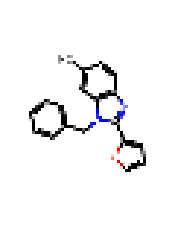 N#Cc1ccc2nc(-c3ccco3)n(Cc3ccccc3)c2c1